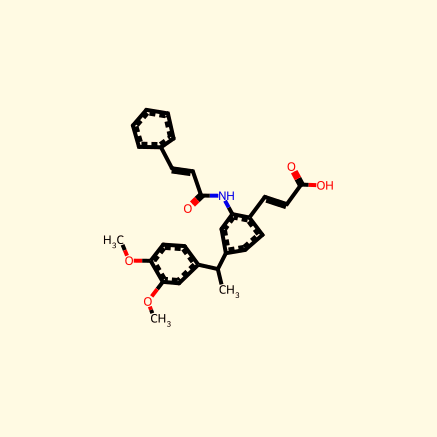 COc1ccc(C(C)c2ccc(C=CC(=O)O)c(NC(=O)C=Cc3ccccc3)c2)cc1OC